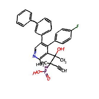 C#CC(C(=O)O)([PH](=O)O)C(C)(O)c1c(C(C)C)ncc(-c2cccc(-c3ccccc3)c2)c1-c1ccc(F)cc1